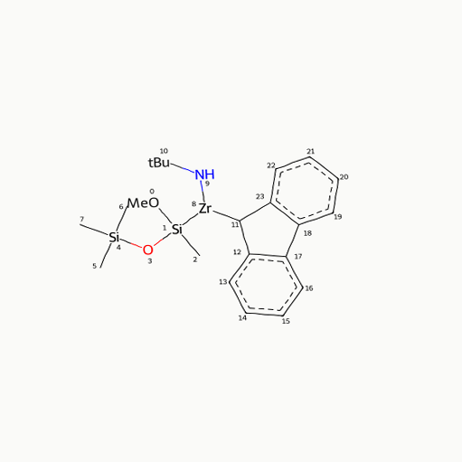 CO[Si](C)(O[Si](C)(C)C)[Zr]([NH]C(C)(C)C)[CH]1c2ccccc2-c2ccccc21